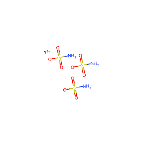 NS(=O)(=O)[O-].NS(=O)(=O)[O-].NS(=O)(=O)[O-].[Y+3]